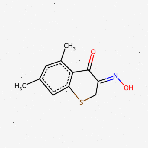 Cc1cc(C)c2c(c1)SCC(=NO)C2=O